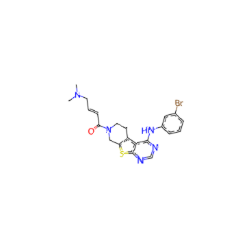 CN(C)CC=CC(=O)N1CCc2c(sc3ncnc(Nc4cccc(Br)c4)c23)C1